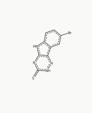 S=c1nc2[nH]c3ccc(Br)cc3c2n[nH]1